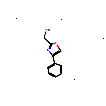 CC(C)(C)Cc1nc(-c2ccccc2)co1